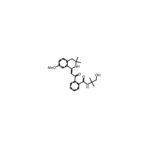 COc1ccc2c(c1)/C(=C/C(=O)c1ccccc1C(=O)NC(C)(C)CO)NC(C)(C)C2